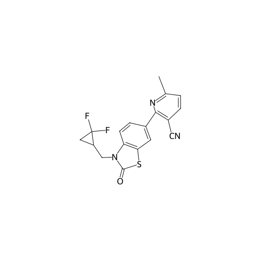 Cc1ccc(C#N)c(-c2ccc3c(c2)sc(=O)n3CC2CC2(F)F)n1